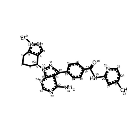 CCn1ncc2c1CCC[C@@H]2n1nc(-c2ccc(C(=O)Nc3cc(C)ccn3)cc2)c2c(N)ncnc21